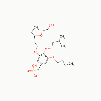 CCCCOc1cc(CP(=O)(O)O)cc(OCCC(CC)OCCO)c1OCCC(C)C